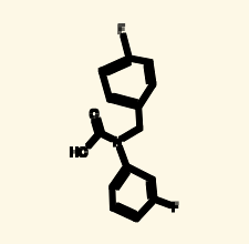 O=C(O)N(Cc1ccc(F)cc1)c1cccc(F)c1